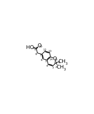 CC1(C)C=Cc2cc(CC(=O)O)ccc2O1